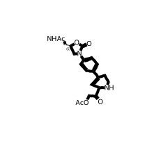 CC(=O)NC[C@H]1CN(c2ccc(C3=CC(C(=O)COC(C)=O)NCC3)cc2)C(=O)O1